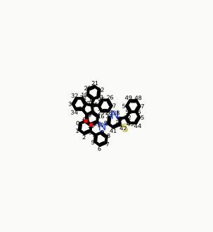 c1ccc(-c2ccccc2N(c2ccc3c(c2)C(c2ccccc2)(c2ccccc2)c2ccccc2-3)c2cnc3c(c2)sc2ccc4ccccc4c23)cc1